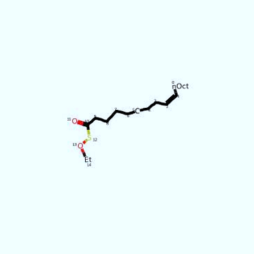 CCCCCCCC/C=C\CCCCCCCC(=O)SOCC